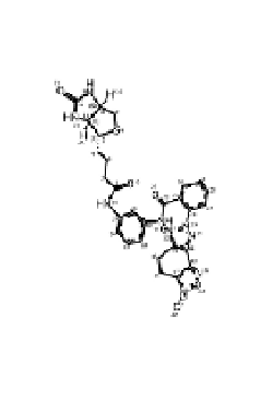 O=C(CCC[C@H]1SC[C@H]2NC(=O)N[C@H]21)Nc1cccc(NC(=O)c2ccccc2-n2nc3c([n+]2[O-])CCc2c-3no[n+]2[O-])c1